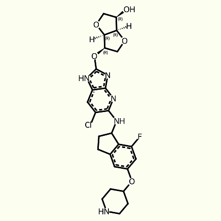 O[C@@H]1CO[C@H]2[C@@H]1OC[C@H]2Oc1nc2nc(NC3CCc4cc(OC5CCNCC5)cc(F)c43)c(Cl)cc2[nH]1